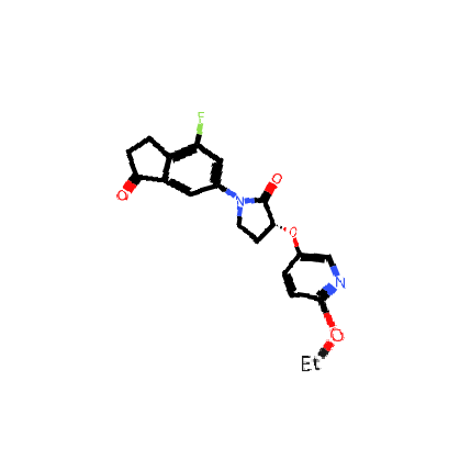 CCOc1ccc(O[C@@H]2CCN(c3cc(F)c4c(c3)C(=O)CC4)C2=O)cn1